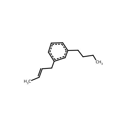 CC=CCc1cccc(CCCC)c1